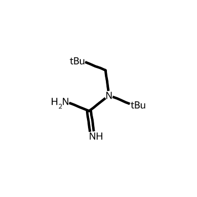 CC(C)(C)CN(C(=N)N)C(C)(C)C